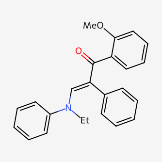 CCN(/C=C(/C(=O)c1ccccc1OC)c1ccccc1)c1ccccc1